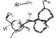 C=C[C@H]1C[N@]2CC[C@H]1C[C@H]2[C@H](O)c1ccnc2ccc(OC)cc12.O=CO